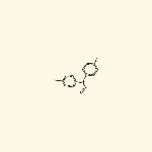 Cc1ccc(N(C=O)c2ccc(C)cc2)cc1